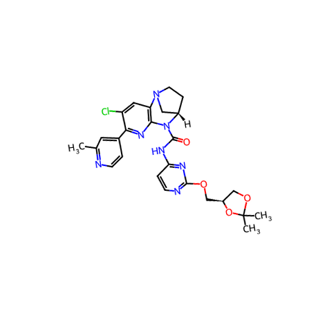 Cc1cc(-c2nc3c(cc2Cl)N2CC[C@@H](C2)N3C(=O)Nc2ccnc(OC[C@H]3COC(C)(C)O3)n2)ccn1